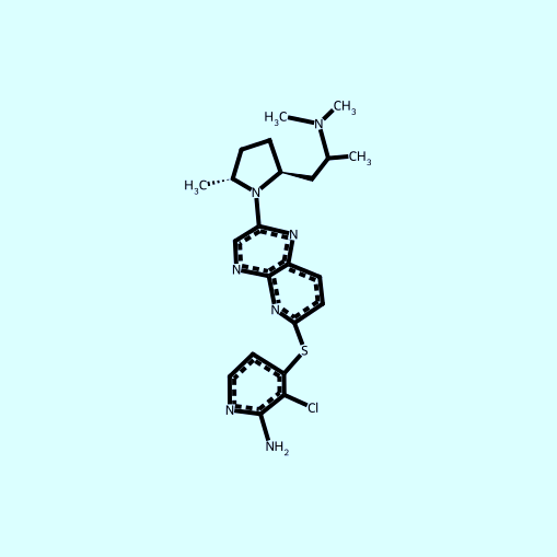 CC(C[C@@H]1CC[C@@H](C)N1c1cnc2nc(Sc3ccnc(N)c3Cl)ccc2n1)N(C)C